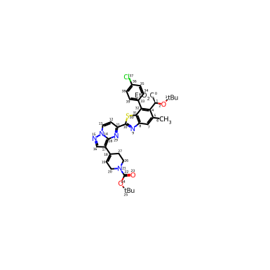 CCOC(=O)[C@@H](OC(C)(C)C)c1c(C)cc2nc(-c3ccn4ncc(C5=CCN(C(=O)OC(C)(C)C)CC5)c4n3)sc2c1-c1ccc(Cl)cc1